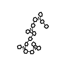 c1ccc(-c2ccc(N(c3ccccc3)c3cccc(-c4ccc(-n5c6ccccc6c6c(-c7ccc(-c8ccc(N(c9ccccc9)c9cccc(-c%10cccc(-n%11c%12ccccc%12c%12ccccc%12%11)c%10)c9)cc8)cc7)cccc65)cc4)c3)cc2)cc1